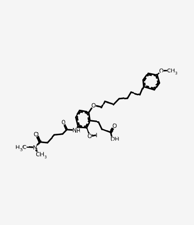 COc1ccc(CCCCCCCOc2ccc(NC(=O)CCCC(=O)N(C)C)c(OI)c2CCC(=O)O)cc1